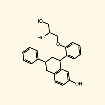 OCC(O)COc1ccccc1C1CC(c2ccccc2)Cc2ccc(O)cc21